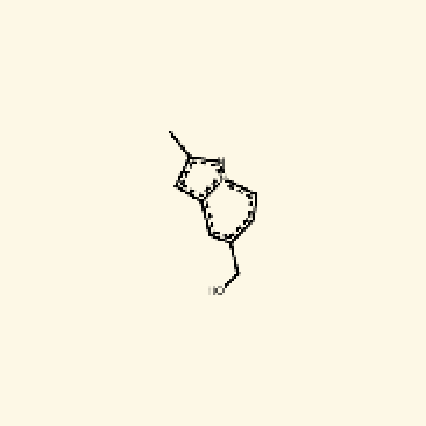 Cc1cc2cc(CO)ccn2n1